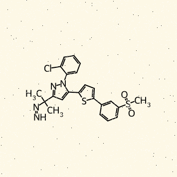 CC(C)(N=N)c1cc(-c2ccc(-c3cccc(S(C)(=O)=O)c3)s2)n(-c2ccccc2Cl)n1